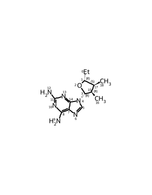 CC[C@H]1O[C@@H](n2cnc3c(N)nc(N)nc32)[C@H](C)[C@@H]1C